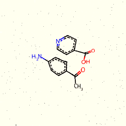 CC(=O)c1ccc(N)cc1.O=C(O)c1ccncc1